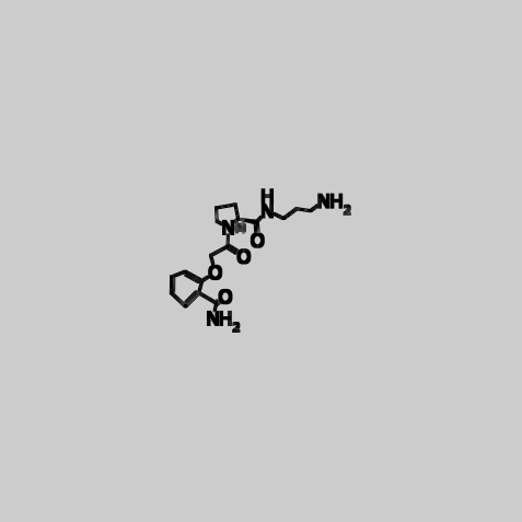 NCCCNC(=O)[C@@H]1CCCN1C(=O)COc1ccccc1C(N)=O